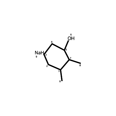 CC1CCCC(O)C1C.[NaH]